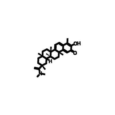 C=C(N(C)C)[C@]1(C)CC[C@]2(C)CC[C@]3(C)C4=CC=C5C(=CC(=O)C(O)=C5C)[C@]4(C)CC[C@@]3(C)[C@@H]2C1